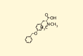 CN(C)[C@@H](Cc1ccc(OCc2ccccc2)cc1)C(=O)O